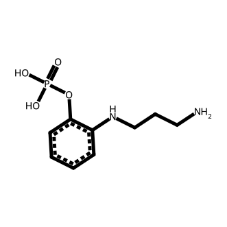 NCCCNc1ccccc1OP(=O)(O)O